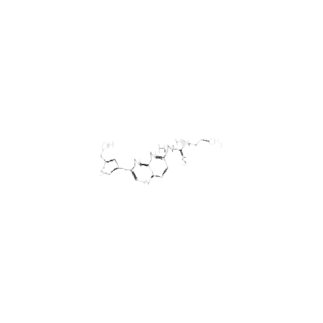 C=CCNC(=S)Nc1ccc2ncc(-c3csc(CO)c3)nc2n1